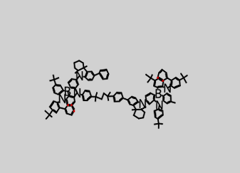 Cc1cc2c3c(c1)N(c1ccc(C(C)(C)C)cc1-c1ccccc1)c1ccc(C(C)(C)C)cc1B3c1ccc(N3c4ccc(-c5ccc(C(C)(C)CCC(C)(C)c6ccc(N7c8cc(N9c%10ccc(-c%11ccccc%11)cc%10C%10(C)CCCCC9%10C)ccc8B8c9cc(C(C)(C)C)ccc9N(c9ccc(C(C)(C)C)cc9-c9ccccc9)c9cc(C)cc7c98)cc6)cc5)cc4C4(C)CCCCC34C)cc1N2c1ccc(C(C)(C)C)cc1